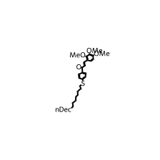 CCCCCCCCCCCCCCCCCCSc1ccc(C(=O)/C=C/c2ccc(OC)c(OC)c2OC)cc1